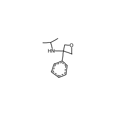 CC(C)NC1(c2ccccc2)COC1